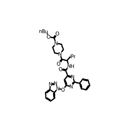 CCCCOC(=O)N1CCN(C(=O)C(NC(=O)c2cc(On3nnc4ccccc43)nc(-c3ccccc3)n2)C(C)C)CC1